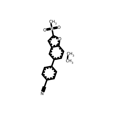 CC.CS(=O)(=O)c1cc2cc(-c3ccc(C#N)cc3)ccc2o1